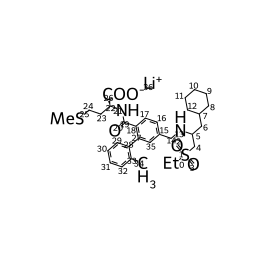 CCS(=O)(=O)CC(CC1CCCCC1)NCc1ccc(C(=O)N[C@@H](CCSC)C(=O)[O-])c(-c2ccccc2C)c1.[Li+]